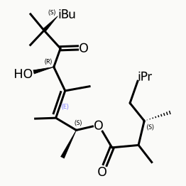 CC[C@H](C)C(C)(C)C(=O)[C@H](O)/C(C)=C(\C)[C@H](C)OC(=O)C(C)[C@@H](C)CC(C)C